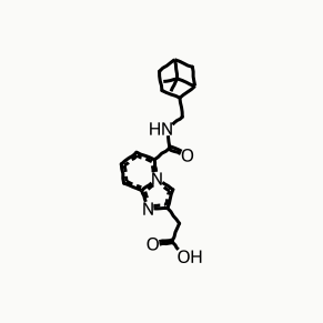 CC1(C)C2CCC(CNC(=O)c3cccc4nc(CC(=O)O)cn34)C1C2